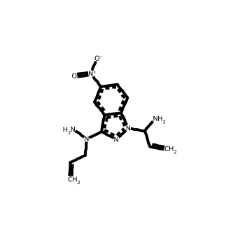 C=CCN(N)c1nn(C(N)C=C)c2ccc([N+](=O)[O-])cc12